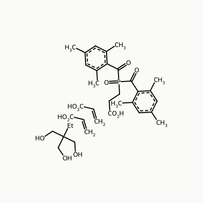 C=CC(=O)O.C=CC(=O)O.CCC(CO)(CO)CO.Cc1cc(C)c(C(=O)P(=O)(CCC(=O)O)C(=O)c2c(C)cc(C)cc2C)c(C)c1